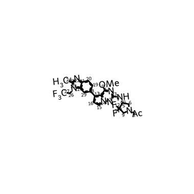 COc1nc(N[C@@H]2CN(C(C)=O)CC2(F)F)nn2ccc(-c3ccc4nc(C)n(CC(F)(F)F)c4c3)c12